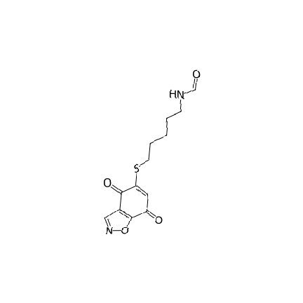 O=CNCCCCCSC1=CC(=O)c2oncc2C1=O